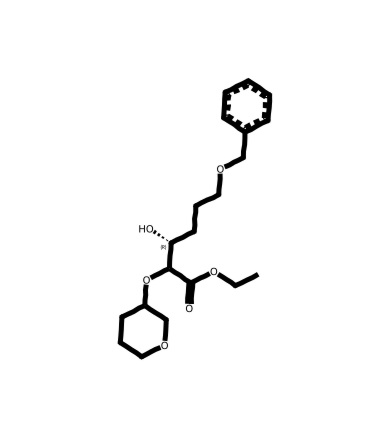 CCOC(=O)C(OC1CCCOC1)[C@H](O)CCCOCc1ccccc1